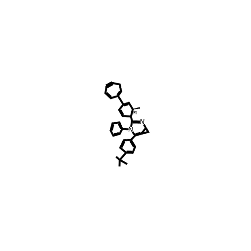 C[C@@H]1C=C(C2=CCC#CC=C2)C=CC1C1=NC2CC2=C(c2ccc(C(C)(C)C)cc2)N1c1ccccc1